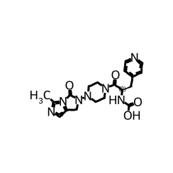 Cc1ncc2n1C(=O)N(N1CCN(C(=O)[C@@H](Cc3ccncc3)NC(=O)O)CC1)C2